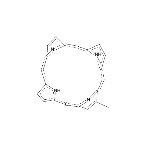 CC1=Cc2cc3ccc(cc4nc(cc5ccc(cc1n2)[nH]5)C=C4)[nH]3